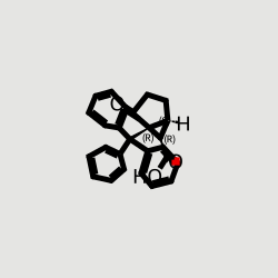 O=C(O)[C@@H]1[C@@H]2CCC(=O)[C@@]12C(c1ccccc1)(c1ccccc1)c1ccccc1